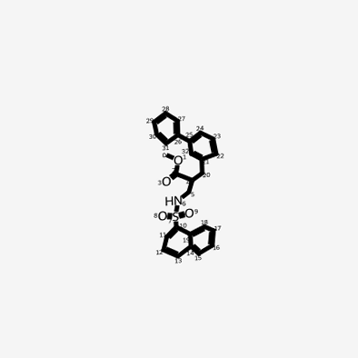 COC(=O)C(CNS(=O)(=O)c1cccc2ccccc12)Cc1cccc(-c2ccccc2)c1